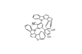 N#Cc1cc(C#N)cc(-c2cc(-n3c4ccccc4c4ccc5sc6ccccc6c5c43)c(C#N)c(-n3c4ccccc4c4ccc5sc6ccccc6c5c43)c2)c1